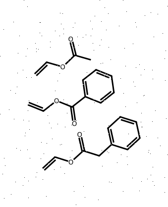 C=COC(=O)Cc1ccccc1.C=COC(=O)c1ccccc1.C=COC(C)=O